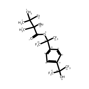 CCC(C)(C)C(C)(C(=O)OC(c1ccc(C(O)(C(F)(F)F)C(F)(F)F)cc1)(C(F)(F)F)C(F)(F)F)C(C)(C)C